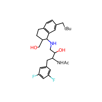 CC(=O)NC(Cc1cc(F)cc(F)c1)C(O)CNC1c2cc(CC(C)(C)C)ccc2CCC1CO